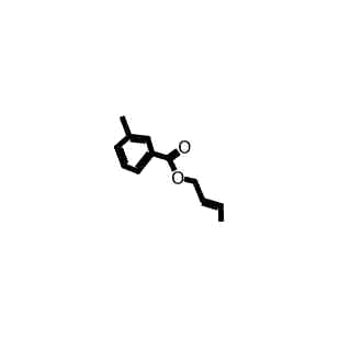 CC=CCOC(=O)c1cccc(C)c1